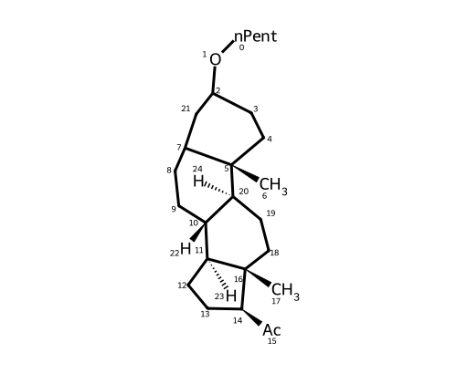 CCCCCOC1CC[C@@]2(C)C(CC[C@H]3[C@@H]4CC[C@H](C(C)=O)[C@@]4(C)CC[C@@H]32)C1